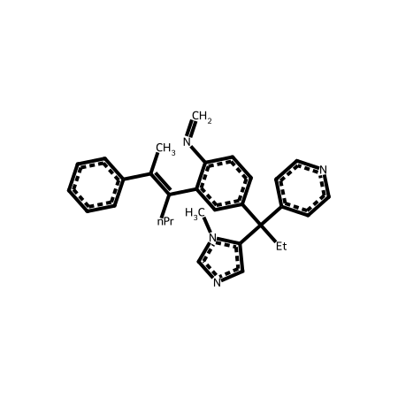 C=Nc1ccc(C(CC)(c2ccncc2)c2cncn2C)cc1/C(CCC)=C(\C)c1ccccc1